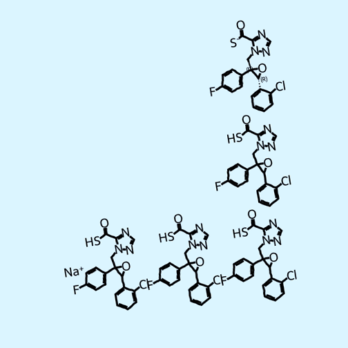 O=C(S)c1ncnn1CC1(c2ccc(F)cc2)OC1c1ccccc1Cl.O=C(S)c1ncnn1CC1(c2ccc(F)cc2)OC1c1ccccc1Cl.O=C(S)c1ncnn1CC1(c2ccc(F)cc2)OC1c1ccccc1Cl.O=C(S)c1ncnn1CC1(c2ccc(F)cc2)OC1c1ccccc1Cl.O=C([S-])c1ncnn1C[C@@]1(c2ccc(F)cc2)O[C@@H]1c1ccccc1Cl.[Na+]